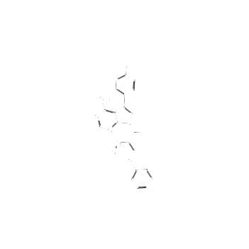 CCC(/C(=C/Nc1ccccc1F)N=N)n1cc(-c2ccc(Cl)cc2)c2c(N)ncnc21